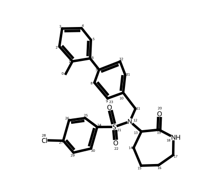 Cc1ccccc1-c1ccc(CN(C2CCCCNC2=O)S(=O)(=O)c2ccc(Cl)cc2)cc1